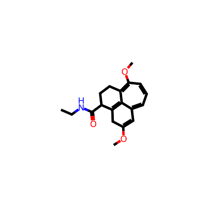 CCNC(=O)C1CCC2=C(OC)C=CC=C3C=C(OC)CC1=C32